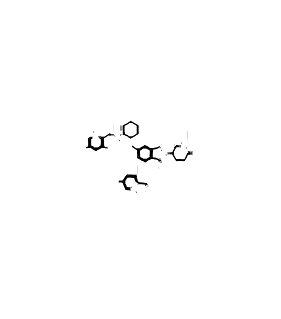 O=C1CCC(N2Cc3cc(C[C@H]4CCCC[C@@H]4NCc4ncc(F)cc4F)ccc3C2=O)C(=O)N1.O=Cc1ncc(F)cc1F